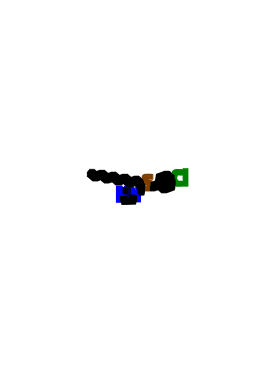 CCCCCCCCCC(Cn1ccnc1)SCc1ccc(Cl)cc1